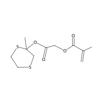 C=C(C)C(=O)OCC(=O)OC1(C)CSCCS1